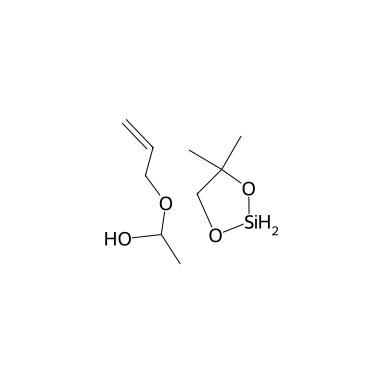 C=CCOC(C)O.CC1(C)CO[SiH2]O1